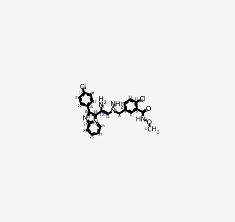 CONC(=O)c1cc(CN(N)/C=C(\N)c2c(-c3ccc(Cl)cc3)nc3ccccn23)ccc1Cl